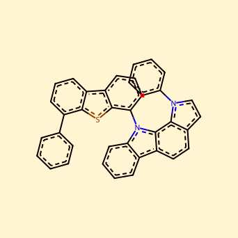 c1ccc(-c2cccc3c2sc2c(-n4c5ccccc5c5ccc6ccn(-c7ccccc7)c6c54)cccc23)cc1